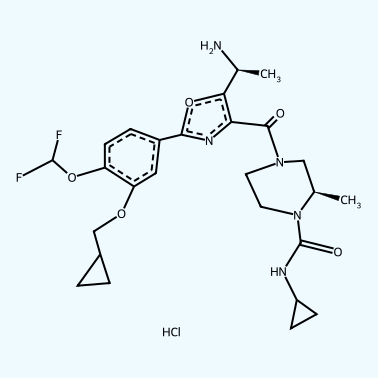 C[C@H](N)c1oc(-c2ccc(OC(F)F)c(OCC3CC3)c2)nc1C(=O)N1CCN(C(=O)NC2CC2)[C@H](C)C1.Cl